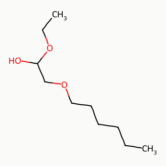 CCCCCCOCC(O)OCC